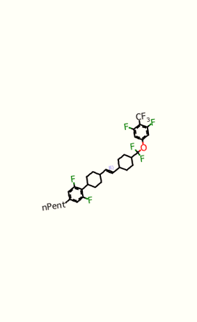 CCCCCc1cc(F)c(C2CCC(/C=C/C3CCC(C(F)(F)Oc4cc(F)c(C(F)(F)F)c(F)c4)CC3)CC2)c(F)c1